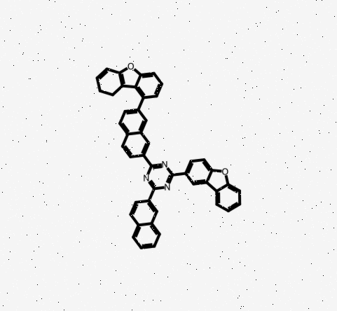 C1=Cc2oc3cccc(-c4ccc5ccc(-c6nc(-c7ccc8ccccc8c7)nc(-c7ccc8oc9ccccc9c8c7)n6)cc5c4)c3c2CC1